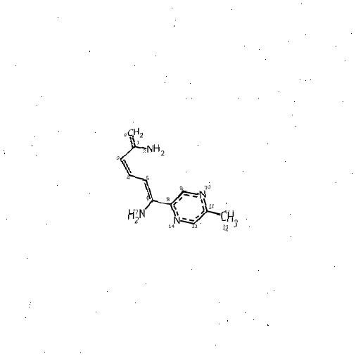 C=C(N)/C=C\C=C(/N)c1cnc(C)cn1